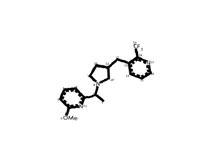 COc1cccc(C(C)N2CCC(Cc3cccnc3C(F)(F)F)C2)n1